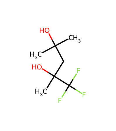 CC(C)(O)CC(C)(O)C(F)(F)F